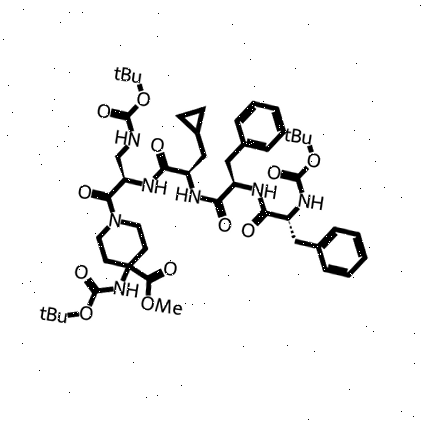 COC(=O)C1(NC(=O)OC(C)(C)C)CCN(C(=O)[C@@H](CNC(=O)OC(C)(C)C)NC(=O)[C@@H](CC2CC2)NC(=O)[C@@H](Cc2ccccc2)NC(=O)[C@@H](Cc2ccccc2)NC(=O)OC(C)(C)C)CC1